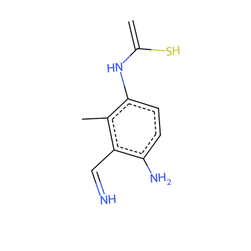 C=C(S)Nc1ccc(N)c(C=N)c1C